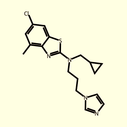 Cc1cc(Cl)cc2sc(N(CCCn3ccnc3)CC3CC3)nc12